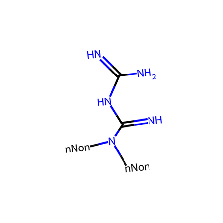 CCCCCCCCCN(CCCCCCCCC)C(=N)NC(=N)N